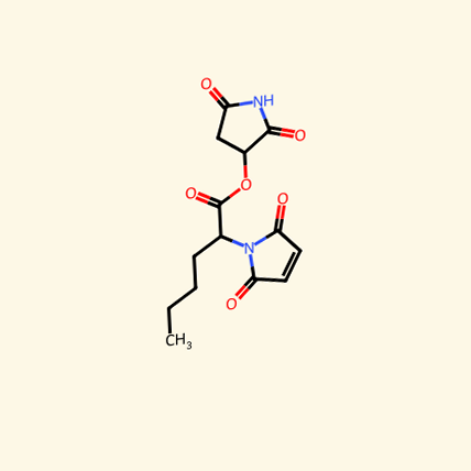 CCCCC(C(=O)OC1CC(=O)NC1=O)N1C(=O)C=CC1=O